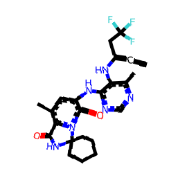 C=C=C(CC(F)(F)F)Nc1c(C)ncnc1Nc1cc(C)c2n(c1=O)C1(CCCCC1)NC2=O